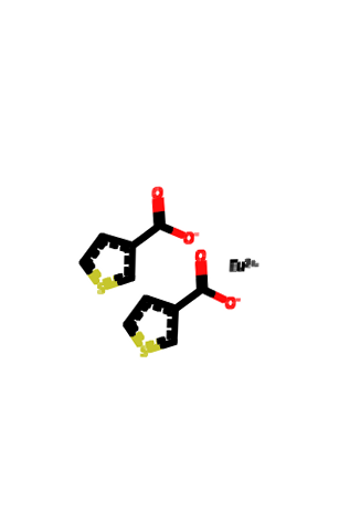 O=C([O-])c1ccsc1.O=C([O-])c1ccsc1.[Eu+2]